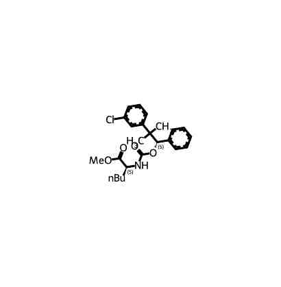 CCCC[C@H](NC(=O)O[C@@H](c1ccccc1)C(C)(C)c1cccc(Cl)c1)C(=O)OC